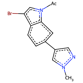 CC(=O)n1cc(Br)c2ccc(-c3cnn(C)c3)cc21